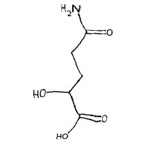 NC(=O)CCC(O)C(=O)O